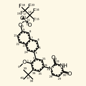 COc1c(-c2ccc3cc(OS(=O)(=O)C(F)(F)C(F)(F)F)ccc3c2)cc(-n2ccc(=O)[nH]c2=O)cc1C(C)(C)C